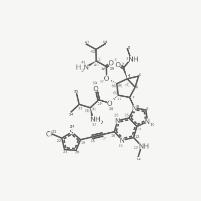 CNC(=O)[C@@]12CC1C(n1cnc3c(NC)nc(C#Cc4ccc(Cl)s4)nc31)[C@H](OC(=O)[C@@H](N)C(C)C)[C@@H]2OC(=O)[C@@H](N)C(C)C